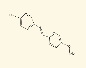 CCCCCCCCCOc1ccc(C=Nc2ccc(CC)cc2)cc1